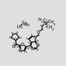 C[Si](C)(C)CCOCn1ccc2c(-c3cnc(C(=O)C4CCCC4)o3)ncnc21.[Li][CH2]CCC